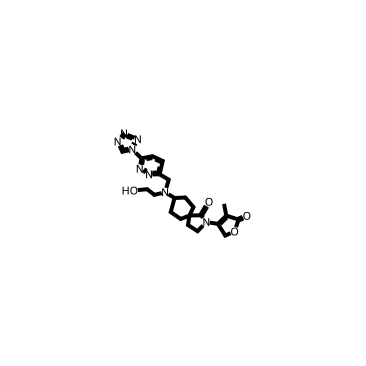 CC1=C(N2CCC3(CCC(N(CCO)Cc4ccc(-n5cnnn5)nn4)CC3)C2=O)COC1=O